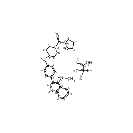 CNc1c(-c2ccc(OC3CCN(C(=O)[C@H]4CCCO4)CC3)cc2)cnc2ccccc12.O=C(O)C(F)(F)F